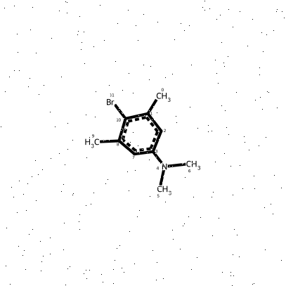 Cc1cc(N(C)C)cc(C)c1Br